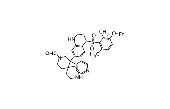 CCOc1ccc(C)c(S(=O)(=O)C2CCNc3cc(C4(c5ccncc5)CN(C=O)CCC45CCNCC5)ccc32)c1C